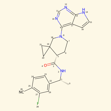 C[C@@H](NC(=O)[C@H]1CCN(c2ncnc3[nH]ccc23)CC12CC2)c1ccc(C#N)c(F)c1